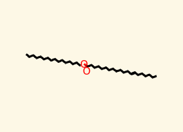 CCCCCCC=CCCCCCCCCCCCC(=O)OCCCCCCCCCCCCCCCC